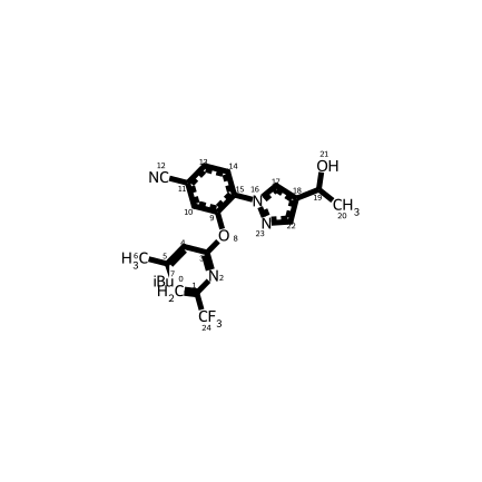 C=C(/N=C(\C=C(\C)[C@H](C)CC)Oc1cc(C#N)ccc1-n1cc(C(C)O)cn1)C(F)(F)F